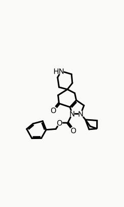 O=C1CC2(CCNCC2)CC2=C1N(C(=O)OCc1ccccc1)N(C13CC(C1)C3)C2